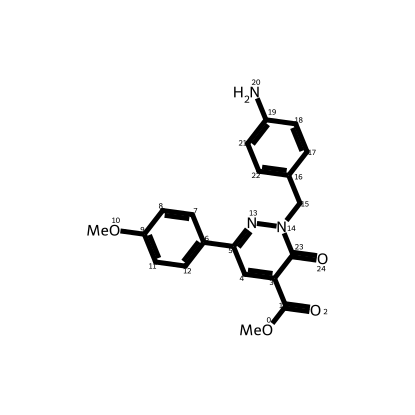 COC(=O)c1cc(-c2ccc(OC)cc2)nn(Cc2ccc(N)cc2)c1=O